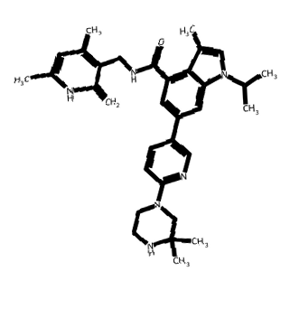 C=C1NC(C)=CC(C)=C1CNC(=O)c1cc(-c2ccc(N3CCNC(C)(C)C3)nc2)cc2c1c(C)cn2C(C)C